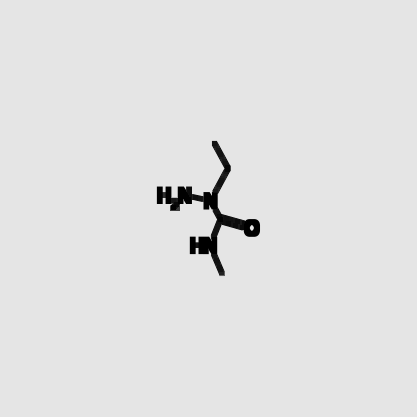 CCN(N)C(=O)NC